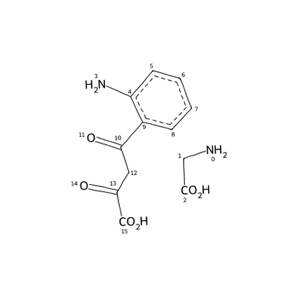 NCC(=O)O.Nc1ccccc1C(=O)CC(=O)C(=O)O